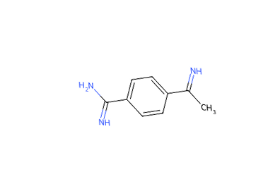 CC(=N)c1ccc(C(=N)N)cc1